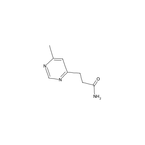 Cc1cc(CCC(N)=O)ncn1